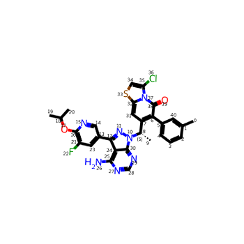 Cc1cccc(-c2c([C@H](C)n3nc(-c4cnc(OC(C)C)c(F)c4)c4c(N)ncnc43)cc3scc(Cl)n3c2=O)c1